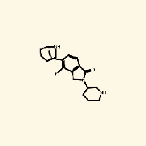 O=C1c2ccc(N3CC4CCC3CN4)c(F)c2CN1C1CCCNC1